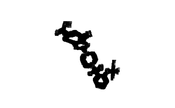 O=C(O)c1cc(Cl)c2nc(N3CCN(S(=O)(=O)c4ccccc4OC(F)(F)F)CC3)sc2c1